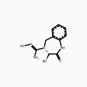 CC[C@H](C)[C@H]1C(=O)Nc2ccccc2CN1/C(N)=N/C#N